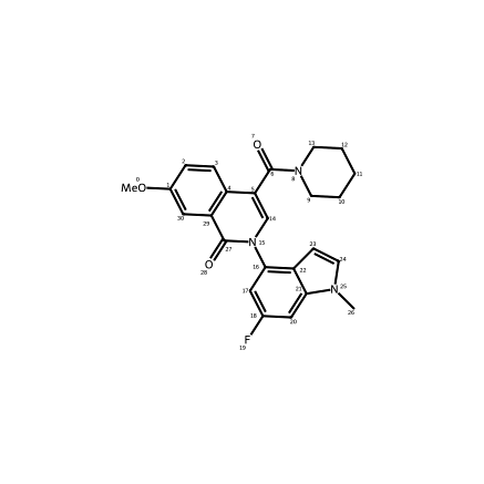 COc1ccc2c(C(=O)N3CCCCC3)cn(-c3cc(F)cc4c3ccn4C)c(=O)c2c1